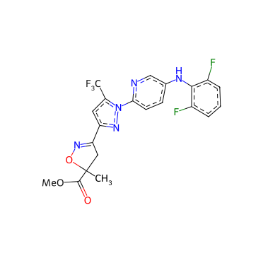 COC(=O)C1(C)CC(c2cc(C(F)(F)F)n(-c3ccc(Nc4c(F)cccc4F)cn3)n2)=NO1